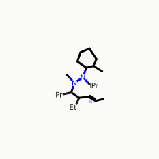 C/C=C/C(CC)C(C(C)C)N(C)N(C(C)C)C1CCCCC1C